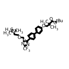 CC(C)(C)OC(=O)C(C)(C)COc1ccc(-c2ccc(-c3nc(C(F)(F)F)nn3COCC[Si](C)(C)C)cc2)cc1